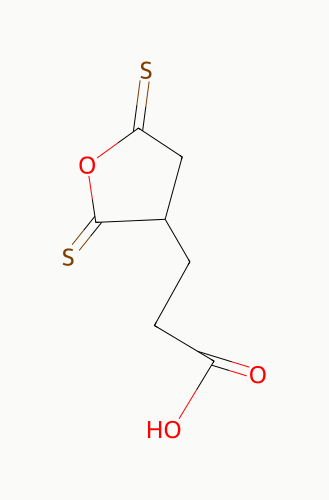 O=C(O)CCC1CC(=S)OC1=S